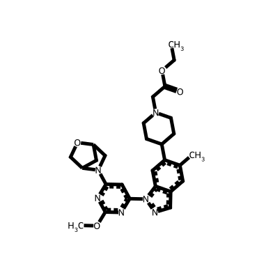 CCOC(=O)CN1CCC(c2cc3c(cnn3-c3cc(N4CC5CC4CO5)nc(OC)n3)cc2C)CC1